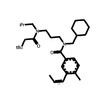 C/C=C\c1cc(C(=O)N(CCCN(CC(C)C)C(=O)CC(C)(C)C)CC2CCCCC2)ccc1C